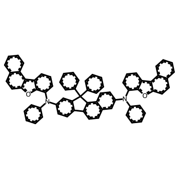 c1ccc(N(c2ccc3c(c2)C(c2ccccc2)(c2ccccc2)c2c-3ccc3cc(N(c4ccccc4)c4cccc5c4oc4ccc6ccccc6c45)ccc23)c2cccc3c2oc2ccc4ccccc4c23)cc1